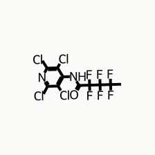 CC(F)(F)C(F)(F)C(F)(F)C(=O)Nc1c(Cl)c(Cl)nc(Cl)c1Cl